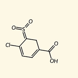 O=C(O)C1=CC=C(Cl)C(=S(=O)=O)C1